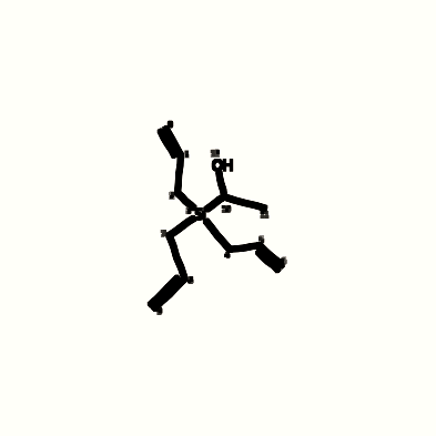 C=CC[Si](CC=C)(CC=C)C(C)O